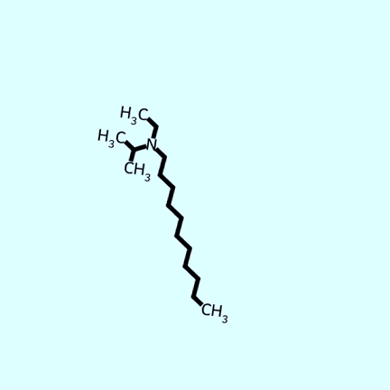 CCCCCCCCCCCN(CC)C(C)C